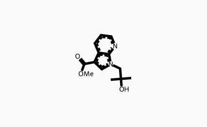 COC(=O)c1cn(CC(C)(C)O)c2ncccc12